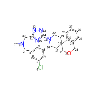 CN1Cc2cc(Cl)ccc2-n2c(nnc2N2CCC3(CC2)COCc2ccccc23)C1